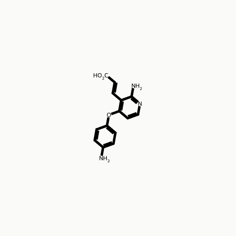 Nc1ccc(Oc2ccnc(N)c2/C=C/C(=O)O)cc1